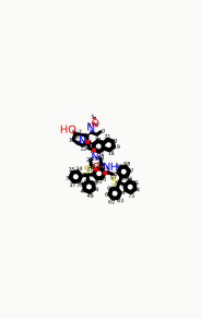 CC/C(=N\OC)[C@@H]1C2[C@H](O)CC(C[C@@H]1c1ccc3ccccc3c1)N2CCCN(CCSC(c1ccccc1)(c1ccccc1)c1ccccc1)CC(=O)NCCSC(c1ccccc1)(c1ccccc1)c1ccccc1